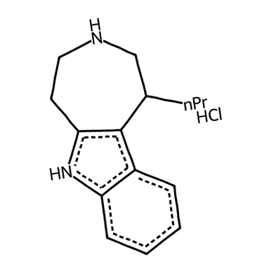 CCCC1CNCCc2[nH]c3ccccc3c21.Cl